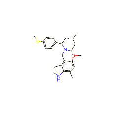 COc1cc(C)c2[nH]ccc2c1CN1CCC(C)CC1c1ccc(SC)cc1